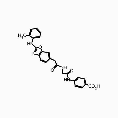 Cc1ccccc1Nc1nc2ccc(CC(=O)NCC(=O)Nc3ccc(C(=O)O)cc3)cc2o1